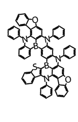 c1ccc(N2c3cc4c(cc3B3c5ccccc5N(c5ccccc5)c5c3c2cc2oc3ccccc3c52)B2c3sc5ccccc5c3N(c3ccccc3)c3c2c(cc2oc5ccccc5c32)N4c2ccccc2)cc1